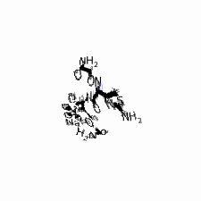 NC(=O)CO/N=C(\C(=O)N[C@@H]1C(=O)N(S(=O)(=O)[O-])[C@@H]1COC(N)=O)c1csc(N)n1.[Na+]